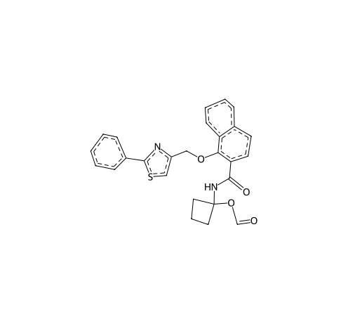 O=COC1(NC(=O)c2ccc3ccccc3c2OCc2csc(-c3ccccc3)n2)CCC1